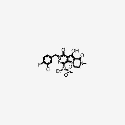 CCN(c1nn(Cc2ccc(F)c(Cl)c2)c(=O)c2c(O)c3n(c12)CCN(C)C3=O)S(C)(=O)=O